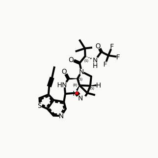 CC#Cc1csc2cncc(C(C#N)NC(=O)[C@@H]3[C@@H]4[C@H](CN3C(=O)[C@@H](NC(=O)C(F)(F)F)C(C)(C)C)C4(C)C)c12